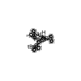 Cc1ccc(C(NCCCC[C@H](NC(=O)OCC2c3ccccc3-c3ccccc32)C(=O)Nc2ccc(CO[Si](c3ccccc3)(c3ccccc3)C(C)(C)C)cc2C)(c2ccccc2)c2ccccc2)cc1